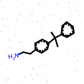 CC(C)(c1ccccc1)c1ccc(CCN)cc1